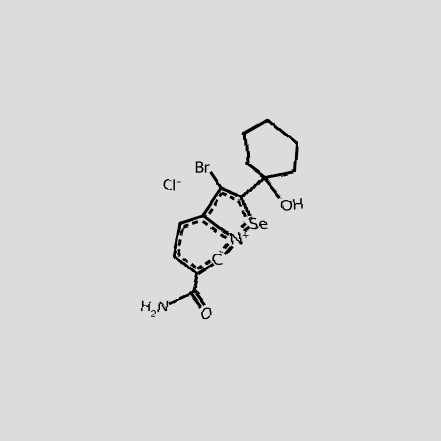 NC(=O)c1ccc2c(Br)c(C3(O)CCCCC3)[se][n+]2c1.[Cl-]